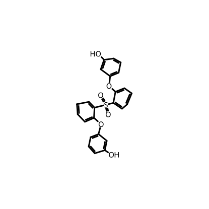 O=S(=O)(c1ccccc1Oc1cccc(O)c1)c1ccccc1Oc1cccc(O)c1